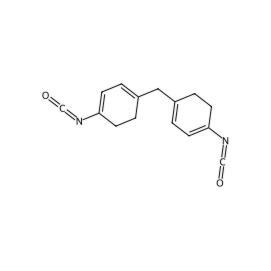 O=C=NC1=CC=C(CC2=CC=C(N=C=O)CC2)CC1